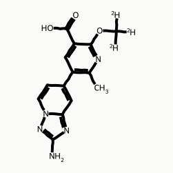 [2H]C([2H])([2H])Oc1nc(C)c(-c2ccn3nc(N)nc3c2)cc1C(=O)O